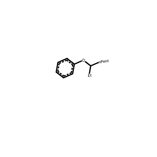 CCCCCC(CC)Oc1ccccc1